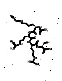 CC(=O)N[C@@H](CCCCNN=[N+]=[N-])C(=O)N[C@@H](CCCNC(=N)N)C(=O)N[C@@H](CCCNC(=N)N)C(=O)N[C@H](CS)C(=O)O